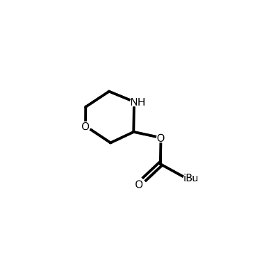 CCC(C)C(=O)OC1COCCN1